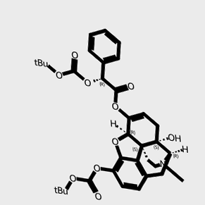 CN1CC[C@]23c4c5ccc(OC(=O)OC(C)(C)C)c4O[C@H]2C(OC(=O)[C@H](OC(=O)OC(C)(C)C)c2ccccc2)=CC[C@@]3(O)[C@H]1C5